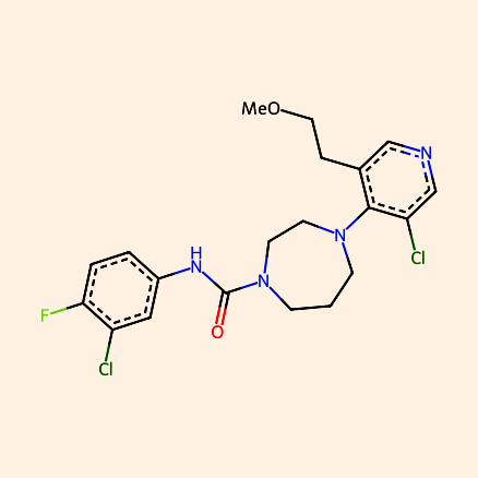 COCCc1cncc(Cl)c1N1CCCN(C(=O)Nc2ccc(F)c(Cl)c2)CC1